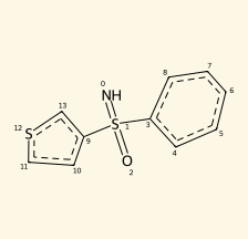 N=S(=O)(c1ccccc1)c1ccsc1